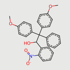 COc1ccc(C(c2ccccc2)(c2ccc(OC)cc2)C(O)c2ccccc2[N+](=O)[O-])cc1